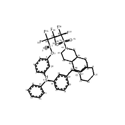 O=S(=O)(Oc1cccc([SH](c2ccccc2)c2cccc(CN3CCCCC3)c2)c1)C(F)(F)C(F)(F)C(F)(F)S(=O)(=O)N1CCC2CCCCC2C1